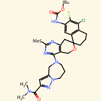 CSc1nc2c(c(N3CCCn4nc(C(=O)N(C)C)cc4C3)n1)COC1(CCCc3c1cc(NC(=O)OC(C)(C)C)c(F)c3Cl)C2